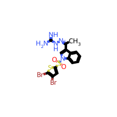 C/C(=N/NC(=N)N)c1cn(S(=O)(=O)c2cc(Br)c(Br)s2)c2ccccc12